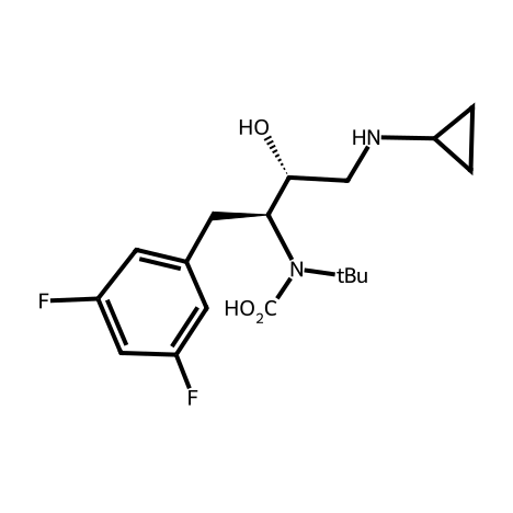 CC(C)(C)N(C(=O)O)[C@@H](Cc1cc(F)cc(F)c1)[C@H](O)CNC1CC1